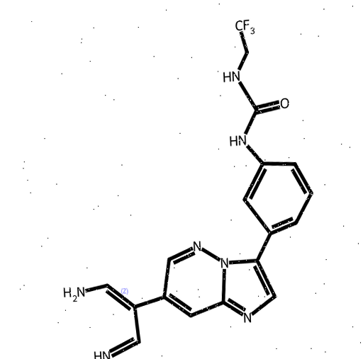 N=C/C(=C\N)c1cnn2c(-c3cccc(NC(=O)NCC(F)(F)F)c3)cnc2c1